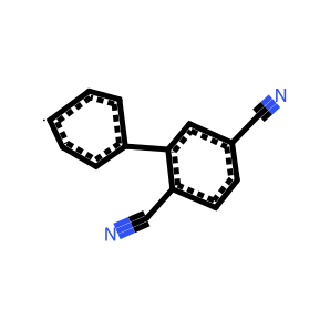 N#Cc1ccc(C#N)c(-c2cc[c]cc2)c1